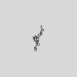 O=C(/C=C/CN1CCCCC1)N1CCc2c(sc3ncnc(Nc4ccc5c(ccn5Cc5cccc(F)c5)c4)c23)C1